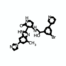 Cc1cc(-n2ccnc2)cc2[nH]c(-c3c(NCC(O)c4cc(Br)cc(-c5cccnc5)c4)cc[nH]c3=O)nc12